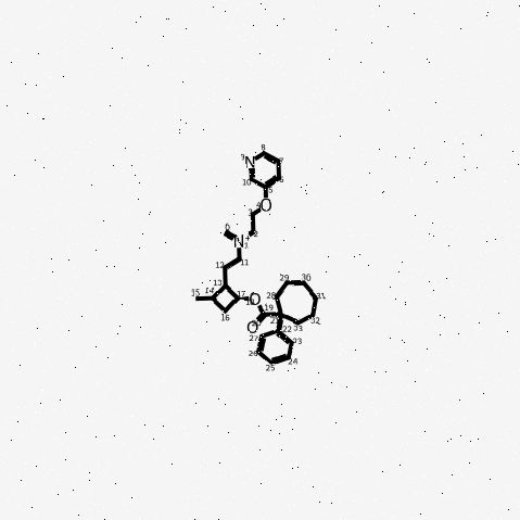 C=[N+](CCOc1cccnc1)CCC1C(C)C[C@@H]1OC(=O)C1(c2ccccc2)CCCCCC1